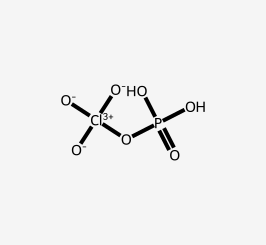 O=P(O)(O)O[Cl+3]([O-])([O-])[O-]